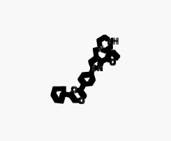 C1=CCCC(C2=COC=C(c3ccc(-n4cc(CN5CCNCC5)c(-c5ccco5)n4)cc3)O2)=C1